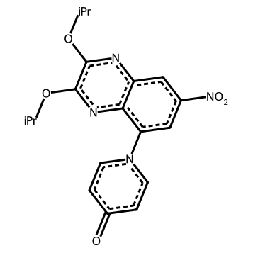 CC(C)Oc1nc2cc([N+](=O)[O-])cc(-n3ccc(=O)cc3)c2nc1OC(C)C